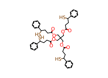 O=C(CCC(S)c1ccccc1)OCC(COC(=O)CCC(S)c1ccccc1)(COC(=O)CCC(S)c1ccccc1)COC(=O)CCC(S)c1ccccc1